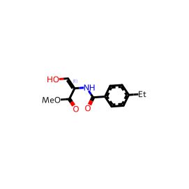 CCc1ccc(C(=O)N/C(=C/O)C(=O)OC)cc1